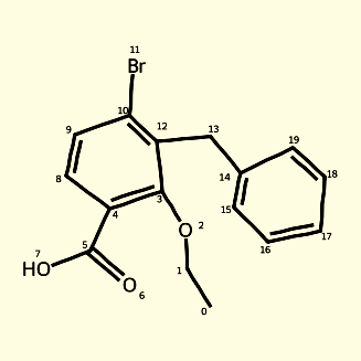 CCOc1c(C(=O)O)ccc(Br)c1Cc1ccccc1